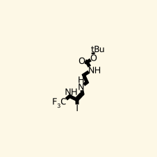 CC(C)(C)OC(=O)NCCN/C=C(/I)C(=N)C(F)(F)F